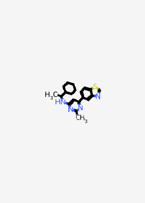 Cc1nc(NC(C)C2CCCCC2)cc(-c2ccc3scnc3c2)n1